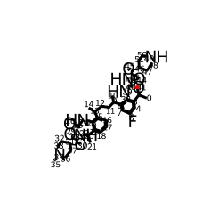 CC(C)c1cc(F)cc(C(C)CCC(C)c2cccc(C(C)C)c2NC(=O)NS(=O)(=O)C2CCN(C)CC2)c1NC(=O)NS(=O)(=O)C1CCNCC1